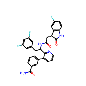 NC(=O)c1cccc(-c2cccnc2C(Cc2cc(F)cc(F)c2)NC(=O)C[C@@H]2C(=O)Nc3ccc(F)cc32)c1